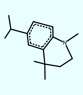 CC(C)c1ccc2c(c1)C(C)(C)CCN2C